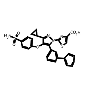 NS(=O)(=O)c1ccc(Oc2c(C3CC3)nn(-c3nc(C(=O)O)cs3)c2-c2cccc(-c3ccccc3)c2)cc1